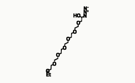 CCOCCOCCOCCOCCOCCOCCOCC(O)N=[N+]=[N-]